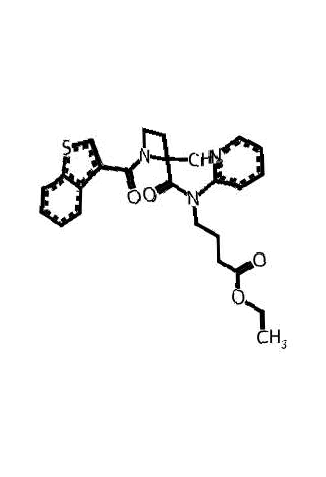 CCOC(=O)CCCN(C(=O)C1(C)CCN1C(=O)c1csc2ccccc12)c1ccccn1